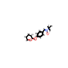 CC(C)(C)[N+]([O-])=Cc1ccc(OC2CCCCO2)cc1